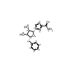 NC(=O)c1ncn([C@@H]2O[C@H](Cc3[c]cccc3)[C@@H](O)[C@H]2O)n1